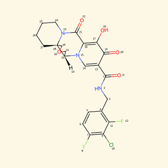 O=C(NCc1ccc(F)c(Cl)c1F)c1cn2c(c(O)c1=O)C(=O)N1CCCC[C@]13COC[C@H]23